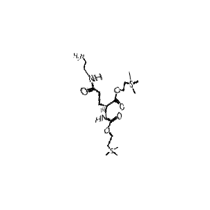 CS(C)(C)CCOC(=O)N[C@@H](CCC(=O)NCCN)C(=O)OCCS(C)(C)C